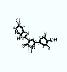 Cc1cc(-c2cc(-c3nc4cc(Cl)cnc4[nH]3)c(=O)[nH]n2)cc(C)c1O